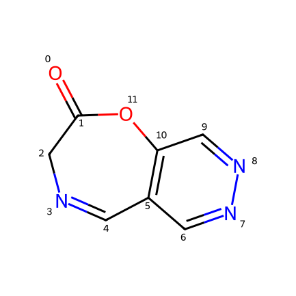 O=C1CN=Cc2cnncc2O1